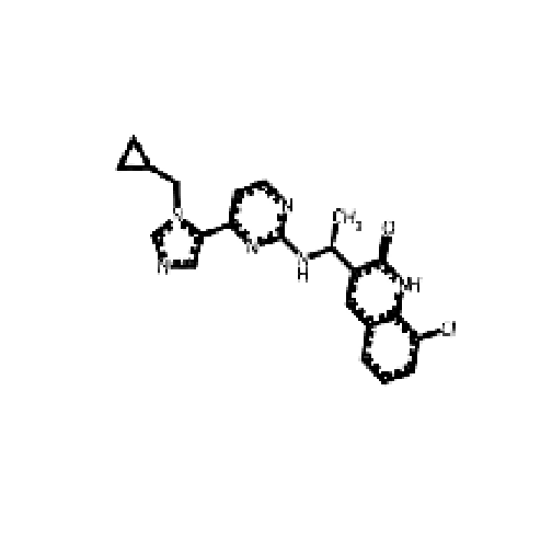 C[C@H](Nc1nccc(-c2cncn2CC2CC2)n1)c1cc2cccc(Cl)c2[nH]c1=O